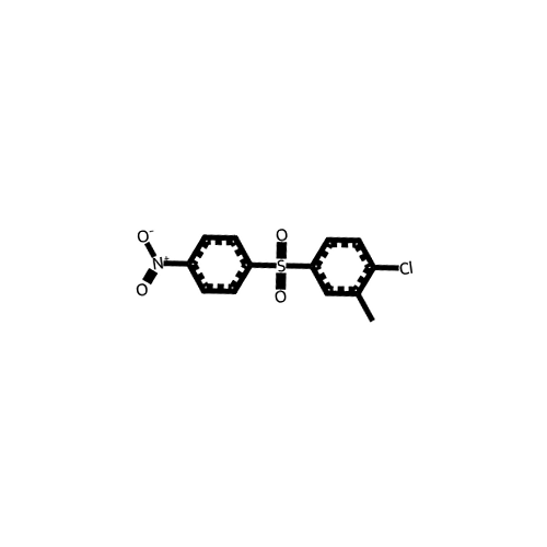 Cc1cc(S(=O)(=O)c2ccc([N+](=O)[O-])cc2)ccc1Cl